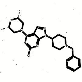 C[C@@H]1CN(c2nc(Cl)nc3c2cnn3C2CCN(Cc3ccccc3)CC2)C[C@H](C)O1